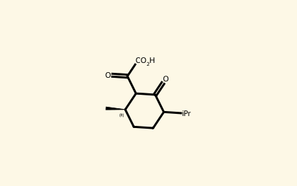 CC(C)C1CC[C@@H](C)C(C(=O)C(=O)O)C1=O